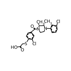 C[C@H]1[C@H](C)N(c2cccc(Cl)c2)CCN1C(=O)c1ccc(SCC(=O)O)c(Cl)c1